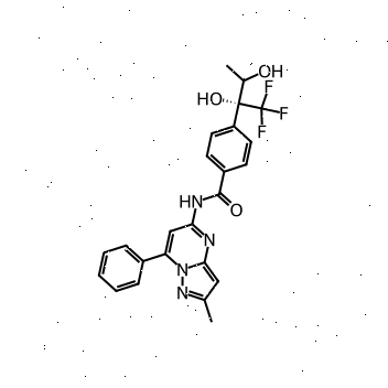 Cc1cc2nc(NC(=O)c3ccc([C@@](O)(C(C)O)C(F)(F)F)cc3)cc(-c3ccccc3)n2n1